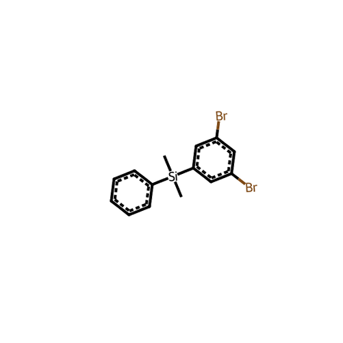 C[Si](C)(c1ccccc1)c1cc(Br)cc(Br)c1